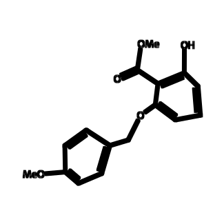 COC(=O)c1c(O)cccc1OCc1ccc(OC)cc1